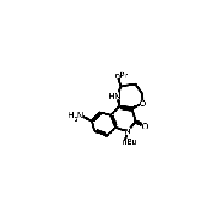 CCCCn1c(=O)c2c(c3cc(N)ccc31)NC(CCC)CCO2